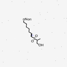 CCCCCCCCCCCCCC/C=C/S(=O)(=O)C(C)CO